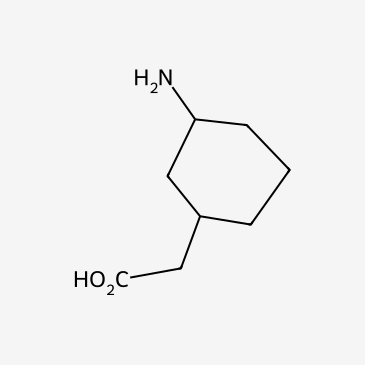 NC1CCCC(CC(=O)O)C1